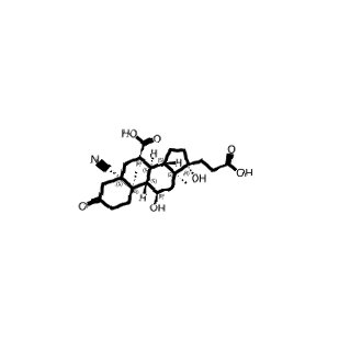 C[C@]12C[C@@H](O)[C@H]3[C@@H]([C@H](C(=O)O)C[C@]4(C#N)CC(=O)CC[C@]34C)[C@@H]1CC[C@@]2(O)CCC(=O)O